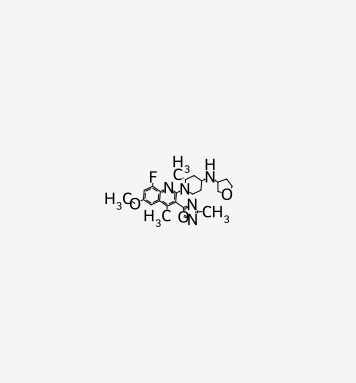 COc1cc(F)c2nc(N3CC[C@H](N[C@H]4CCOC4)C[C@H]3C)c(-c3nc(C)no3)c(C)c2c1